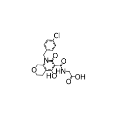 O=C(O)CNC(=O)c1c(O)c2c(n(Cc3ccc(Cl)cc3)c1=O)COCC2